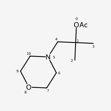 CC(=O)OC(C)(C)CN1CCOCC1